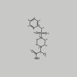 [NH]C(=O)C(Cl)N1CCN(S(=O)(=O)Cc2ccccc2)CC1